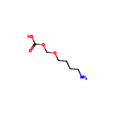 NCCCCOCOC(=O)O